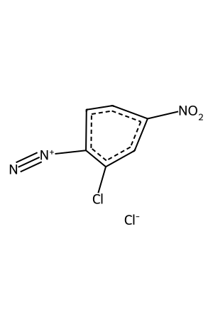 N#[N+]c1ccc([N+](=O)[O-])cc1Cl.[Cl-]